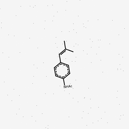 CC(=O)Nc1ccc(C=C(C)C)cc1